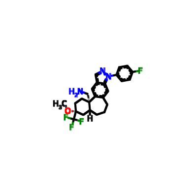 CO[C@]1(C(F)(F)F)CC[C@@]2(CN)c3cc4cnn(-c5ccc(F)cc5)c4cc3CCC[C@@H]2C1